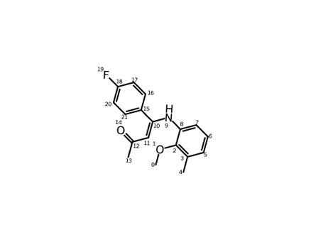 COc1c(C)cccc1N/C(=C/C(C)=O)c1ccc(F)cc1